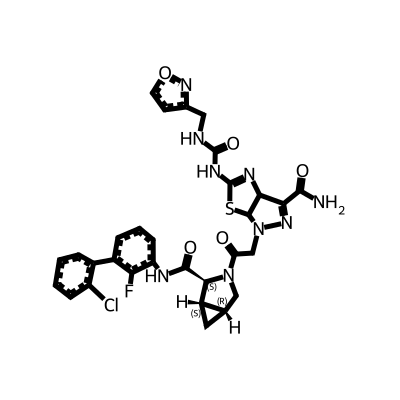 NC(=O)C1=NN(CC(=O)N2C[C@@H]3C[C@@H]3[C@H]2C(=O)Nc2cccc(-c3ccccc3Cl)c2F)C2SC(NC(=O)NCc3ccon3)=NC12